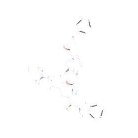 N=C(N)NCCCC(NC(=O)CN1CCN(C(=O)CCc2ccccc2)CC1=O)C(=O)c1nc2ccccc2s1